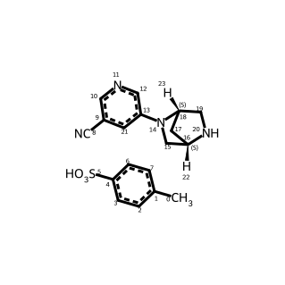 Cc1ccc(S(=O)(=O)O)cc1.N#Cc1cncc(N2C[C@@H]3C[C@H]2CN3)c1